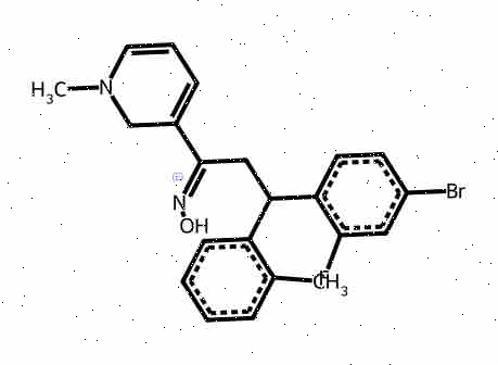 Cc1ccccc1C(C/C(=N\O)C1=CC=CN(C)C1)c1ccc(Br)cc1F